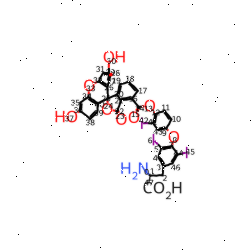 N[C@@H](Cc1cc(I)c(Oc2ccc(OC(=O)c3cccc4c3C(=O)OC43c4ccc(O)cc4Oc4cc(O)ccc43)c(I)c2)c(I)c1)C(=O)O